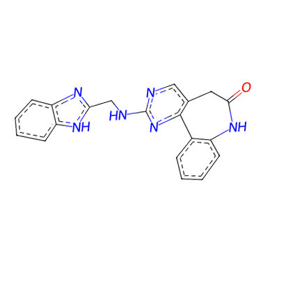 O=C1Cc2cnc(NCc3nc4ccccc4[nH]3)nc2-c2ccccc2N1